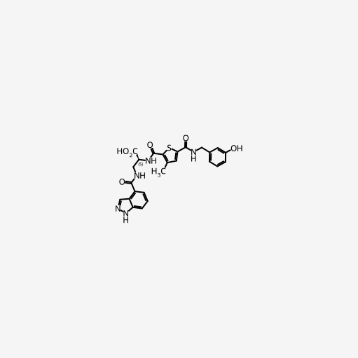 Cc1cc(C(=O)NCc2cccc(O)c2)sc1C(=O)N[C@@H](CNC(=O)c1cccc2[nH]ncc12)C(=O)O